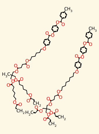 C=CC(=O)OCC(COC(=O)C=C)(COC(=O)C=C)COC(=O)CCC(=O)OCCCCCCCCOc1ccc(C(=O)Oc2ccc(OC(=O)c3ccc(C)cc3)cc2)cc1.C=CC(=O)OCCCCCC(=O)OCC(C)(COC(=O)CCCCCOC(=O)C=C)COC(=O)CCC(=O)OCCCCCCOc1ccc(C(=O)Oc2ccc(OC(=O)c3ccc(C)cc3)cc2)cc1